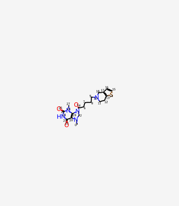 CN1CN(C(=O)CCCCN2CCc3sccc3C2)c2c1c(=O)[nH]c(=O)n2C